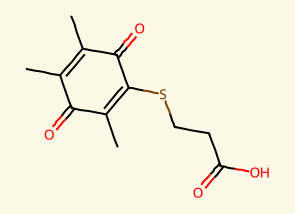 CC1=C(C)C(=O)C(SCCC(=O)O)=C(C)C1=O